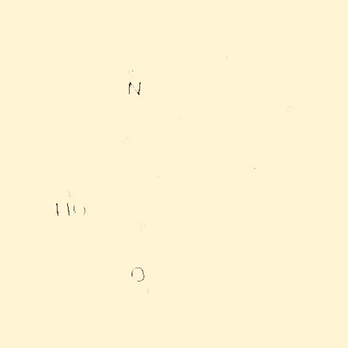 CC(CC(C)(C)C)C(C#N)C(=O)O